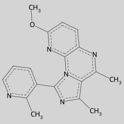 COc1ccc2nc(C)c3c(C)nc(-c4cccnc4C)n3c2n1